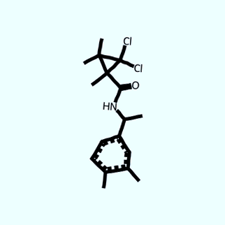 Cc1ccc(C(C)NC(=O)C2(C)C(C)(C)C2(Cl)Cl)cc1C